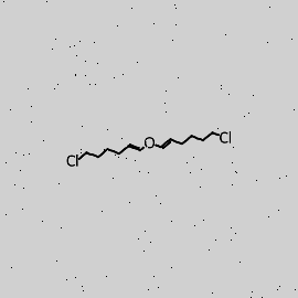 ClCCCCC=COC=CCCCCCl